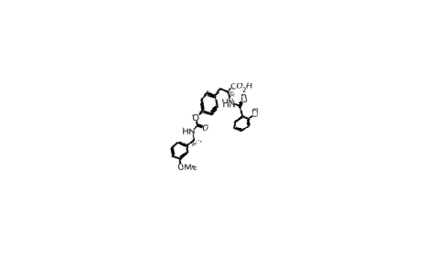 COc1cccc([C@@H](C)NC(=O)Oc2ccc(C[C@H](NC(=O)c3ccccc3Cl)C(=O)O)cc2)c1